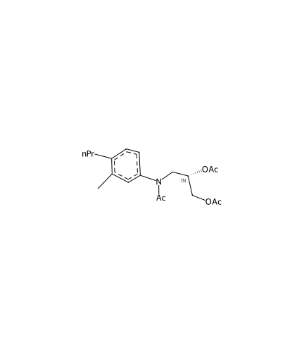 CCCc1ccc(N(C[C@@H](COC(C)=O)OC(C)=O)C(C)=O)cc1C